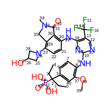 CCC(CC)(c1ccc(Nc2ncc(C(F)(F)F)c(Nc3ccc(N4CC(O)C4)c4c3C(=O)N(C)C4)n2)c(OC)c1)P(=O)(O)O